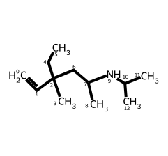 C=CC(C)(CC)CC(C)NC(C)C